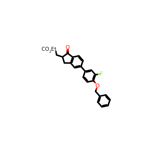 CCOC(=O)CC1Cc2cc(-c3ccc(OCc4ccccc4)c(F)c3)ccc2C1=O